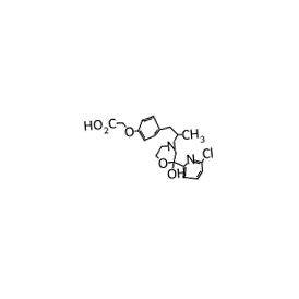 CC(Cc1ccc(OCC(=O)O)cc1)N1CCOC(O)(c2cccc(Cl)n2)C1